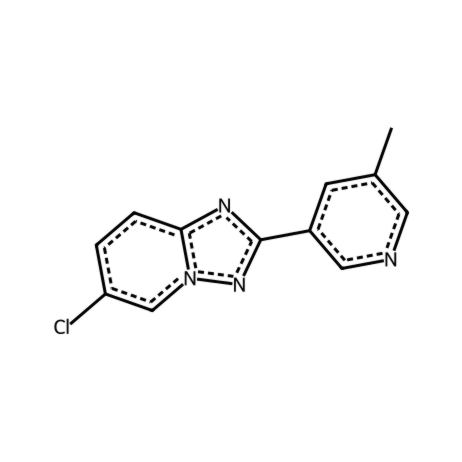 Cc1cncc(-c2nc3ccc(Cl)cn3n2)c1